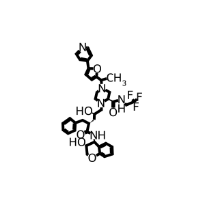 CC(c1ccc(-c2ccncc2)o1)N1CCN(C[C@@H](O)C[C@@H](Cc2ccccc2)C(=O)N[C@H]2c3ccccc3OC[C@H]2O)[C@H](C(=O)NCC(F)(F)F)C1